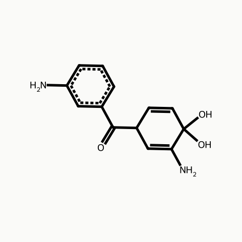 NC1=CC(C(=O)c2cccc(N)c2)C=CC1(O)O